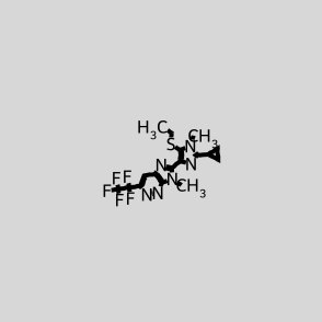 CCSc1c(-c2nc3cc(C(F)(F)C(F)(F)F)nnc3n2C)nc(C2CC2)n1C